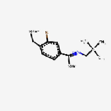 CS/C(=N\C[Si](C)(C)C)c1ccc(CNC(C)=O)c(Br)c1